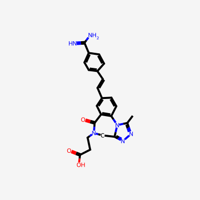 Cc1nnc2n1-c1ccc(/C=C/c3ccc(C(=N)N)cc3)cc1C(=O)N(CCC(=O)O)C2